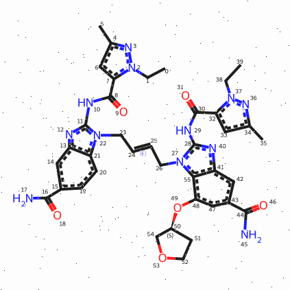 CCn1nc(C)cc1C(=O)Nc1nc2cc(C(N)=O)ccc2n1C/C=C/Cn1c(NC(=O)c2cc(C)nn2CC)nc2cc(C(N)=O)cc(O[C@H]3CCOC3)c21